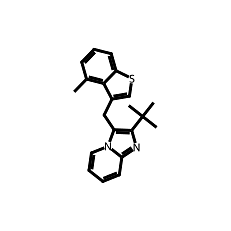 Cc1cccc2scc(Cc3c(C(C)(C)C)nc4ccccn34)c12